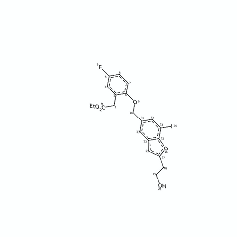 CCOC(=O)Cc1cc(F)ccc1OCc1cc(I)c2oc(CCO)cc2c1